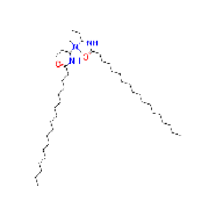 CCCCCCCCCCCCCCCCCC(=O)NC(CC)[N+](C)(C)C(CC)NC(=O)CCCCCCCCCCCCCCCCC